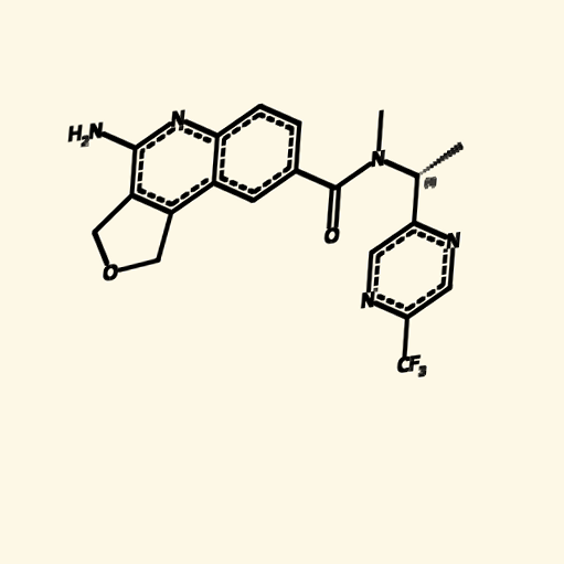 C[C@H](c1cnc(C(F)(F)F)cn1)N(C)C(=O)c1ccc2nc(N)c3c(c2c1)COC3